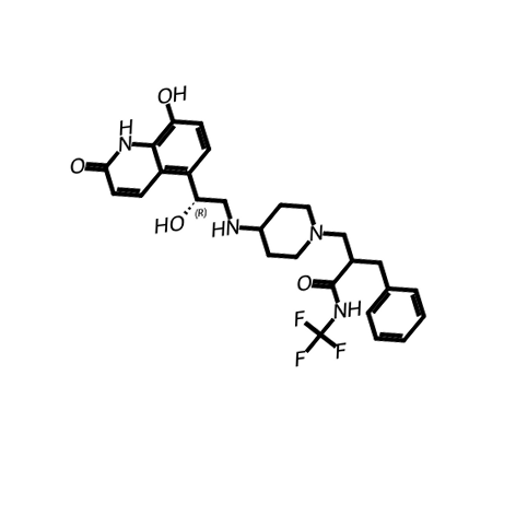 O=C(NC(F)(F)F)C(Cc1ccccc1)CN1CCC(NC[C@H](O)c2ccc(O)c3[nH]c(=O)ccc23)CC1